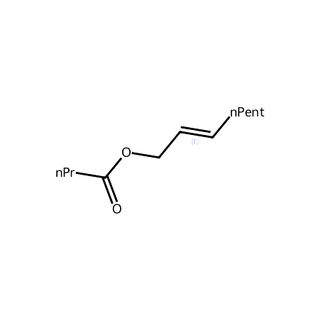 CCCCC/C=C/COC(=O)CCC